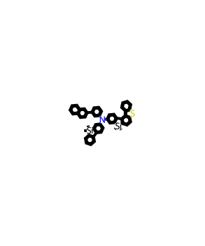 C[Si]1(C)c2ccccc2-c2ccc(N(c3cccc(-c4ccc5ccccc5c4)c3)c3ccc4c(c3)[Si](C)(C)c3ccc5sc6ccccc6c5c3-4)cc21